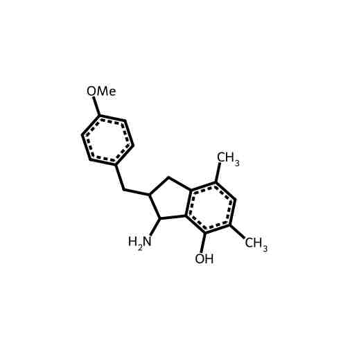 COc1ccc(CC2Cc3c(C)cc(C)c(O)c3C2N)cc1